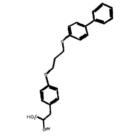 COC(Cc1ccc(OCCCOc2ccc(-c3ccccc3)cc2)cc1)C(=O)O